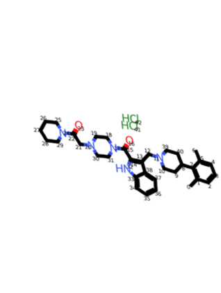 Cc1cccc(C)c1C1CCN(Cc2c(C(=O)N3CCN(CC(=O)N4CCCCC4)CC3)[nH]c3ccccc23)CC1.Cl.Cl